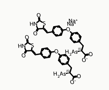 O=C1NC(=O)C(=Cc2ccc(Oc3ccc(C[C@H]([AsH2])C(=O)[O-])cc3)cc2)S1.O=C1NC(=O)C(=Cc2ccc(Oc3ccc(C[C@H]([AsH2])C(=O)[O-])cc3)cc2)S1.[Na+].[Na+]